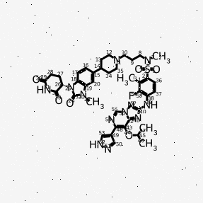 Cc1c(S(=O)(=O)N(C)CCCN2CCC(c3ccc4c(c3)n(C)c(=O)n4[C@H]3CCC(=O)NC3=O)CC2)ccc(Nc2nc3c(OC(C)C)c(-c4cn[nH]c4)ncn3n2)c1F